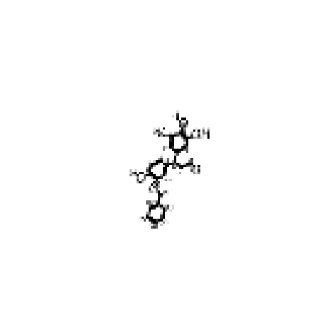 COc1ccc(C(CC=O)c2cc(O)c(OC)c(OC)c2)cc1OCc1ccccc1